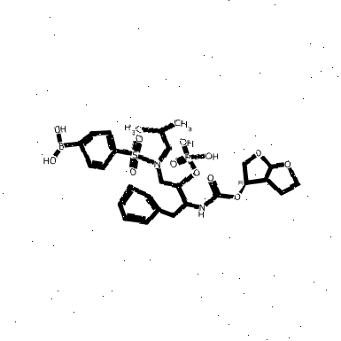 CC(C)CN(CC(OP(=O)(O)O)C(Cc1ccccc1)NC(=O)O[C@H]1COC2OCCC21)S(=O)(=O)c1ccc(B(O)O)cc1